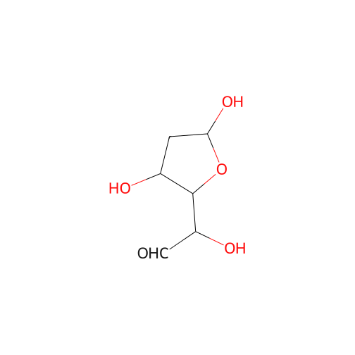 O=CC(O)C1OC(O)CC1O